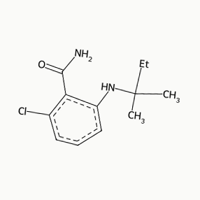 CCC(C)(C)Nc1cccc(Cl)c1C(N)=O